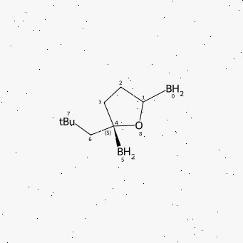 BC1CC[C@@](B)(CC(C)(C)C)O1